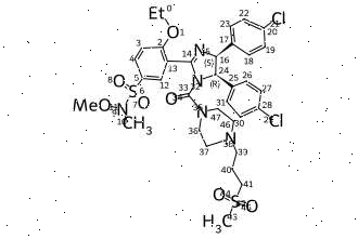 CCOc1ccc(S(=O)(=O)N(C)OC)cc1C1=N[C@@H](c2ccc(Cl)cc2)[C@@H](c2ccc(Cl)cc2)N1C(=O)N1CCN(CCCS(C)(=O)=O)CC1